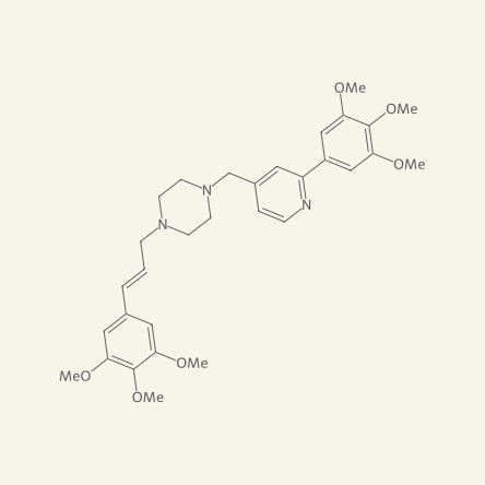 COc1cc(C=CCN2CCN(Cc3ccnc(-c4cc(OC)c(OC)c(OC)c4)c3)CC2)cc(OC)c1OC